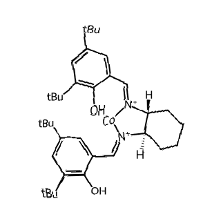 CC(C)(C)c1cc(C=[N+]2[Co][N+](=Cc3cc(C(C)(C)C)cc(C(C)(C)C)c3O)[C@@H]3CCCC[C@H]32)c(O)c(C(C)(C)C)c1